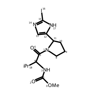 COC(=O)NC(C(=O)N1CCCC1c1cnc(I)[nH]1)C(C)C